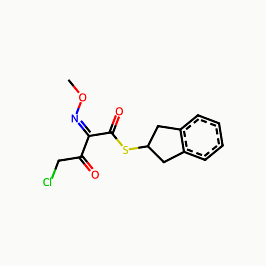 CO/N=C(/C(=O)CCl)C(=O)SC1Cc2ccccc2C1